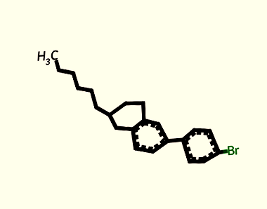 CCCCCCC1CCc2cc(-c3ccc(Br)cc3)ccc2C1